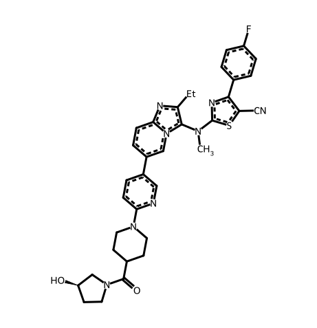 CCc1nc2ccc(-c3ccc(N4CCC(C(=O)N5CC[C@@H](O)C5)CC4)nc3)cn2c1N(C)c1nc(-c2ccc(F)cc2)c(C#N)s1